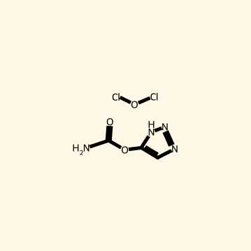 ClOCl.NC(=O)Oc1cnn[nH]1